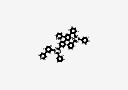 c1ccc(-c2nc(-c3ccc(-c4ccc(-c5ccccc5-c5nc(-c6ccccc6)nc(-c6ccccc6)n5)cc4-c4cccnc4)cc3)nc(-c3cccc(-c4ccncc4)c3)n2)cc1